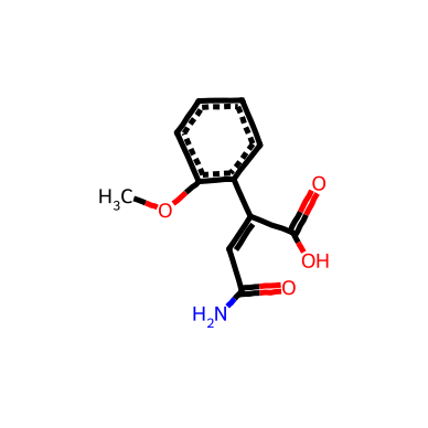 COc1ccccc1C(=CC(N)=O)C(=O)O